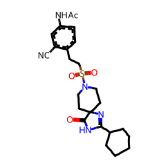 CC(=O)Nc1ccc(CCS(=O)(=O)N2CCC3(CC2)N=C(C2CCCCC2)NC3=O)c(C#N)c1